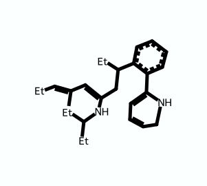 CC/C=C(C)/C=C(/CC(CC)c1ccccc1C1=CC=CCN1)NC(CC)CC